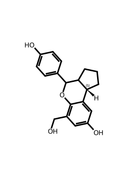 OCc1cc(O)cc2c1OC(c1ccc(O)cc1)C1CCC[C@H]21